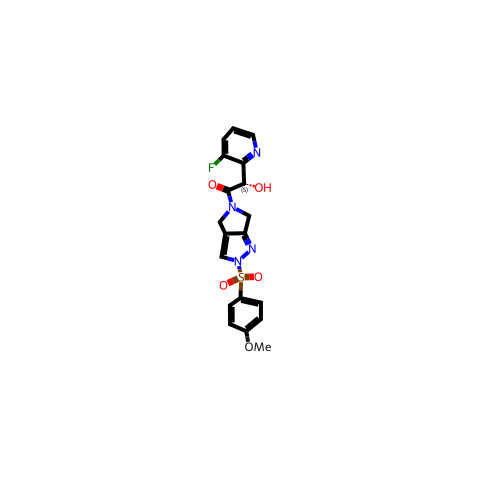 COc1ccc(S(=O)(=O)n2cc3c(n2)CN(C(=O)[C@@H](O)c2ncccc2F)C3)cc1